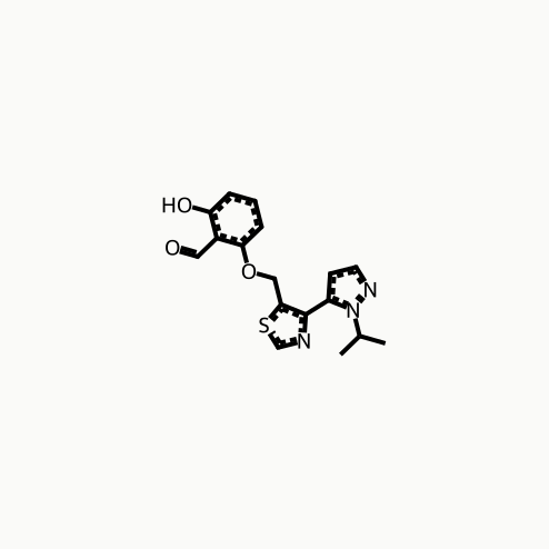 CC(C)n1nccc1-c1ncsc1COc1cccc(O)c1C=O